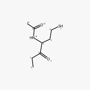 CCC(=O)C(CCS)NC(C)=O